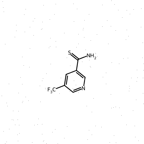 NC(=S)c1cncc(C(F)(F)F)c1